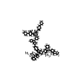 CC1(C)c2ccccc2-c2ccc(-n3c4ccccc4c4cc(-c5ccc6c(c5)c5cc(-c7ccc8c(c7)c7ccccc7n8-c7cccc(-c8nc(-c9ccc(-c%10ccccc%10)cc9)nc(-c9ccc(-c%10ccccc%10)cc9)n8)c7)ccc5n6-c5ccc6c(c5)C(C)(C)c5ccccc5-6)ccc43)cc21